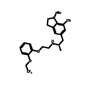 CCCCN1CCc2cc(C[C@@H](C)NCCOc3ccccc3OCC(F)(F)F)cc(C#N)c21